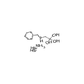 Br.Br.N.OC(O)(O)CPCc1ccccc1